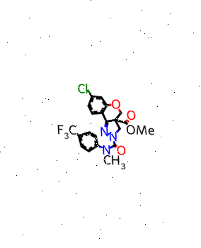 COC(=O)C12COc3cc(Cl)ccc3C1=NN(C(=O)N(C)c1ccc(C(F)(F)F)cc1)C2